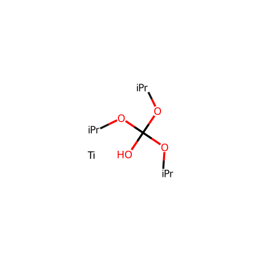 CC(C)OC(O)(OC(C)C)OC(C)C.[Ti]